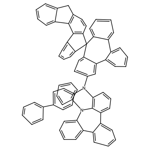 c1ccc(-c2ccc(N(c3ccc4c(c3)-c3ccccc3-c3ccccc3C43c4ccccc4-c4c3ccc3c4-c4ccccc4C3)c3cccc4c3N(c3ccccc3)c3ccccc3-c3ccccc3-4)cc2)cc1